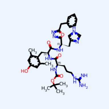 Cc1cc(O)cc(C)c1C[C@H](NC(=O)[C@@H](CCCNC(=N)N)NC(=O)OC(C)(C)C)C(=O)N[C@@H](Cc1c[nH]cn1)c1nnc(Cc2ccccc2)o1